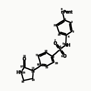 CCCCCc1ccc(NS(=O)(=O)c2ccc(N3CCNC3=O)cc2)cc1